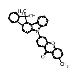 Cc1ccc2oc3cc(-n4c5ccccc5c5c6c(ccc54)-c4ccccc4C6(C)C)ccc3c(=O)c2c1